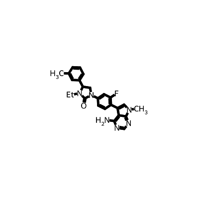 CCN1C(=O)N(c2ccc(-c3cn(C)c4ncnc(N)c34)c(F)c2)CC1c1cccc(C)c1